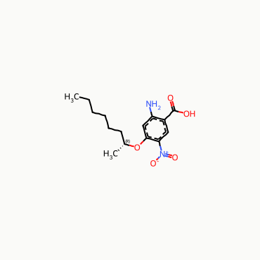 CCCCCC[C@@H](C)Oc1cc(N)c(C(=O)O)cc1[N+](=O)[O-]